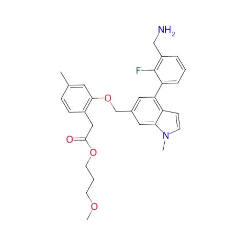 COCCCOC(=O)Cc1ccc(C)cc1OCc1cc(-c2cccc(CN)c2F)c2ccn(C)c2c1